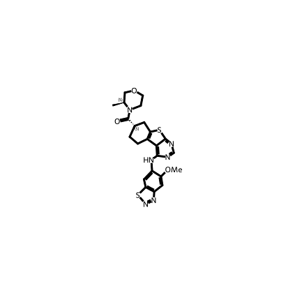 COc1cc2nnsc2cc1Nc1ncnc2sc3c(c12)CC[C@H](C(=O)N1CCOC[C@@H]1C)C3